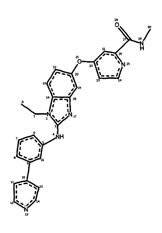 CCn1c(Nc2cccc(-c3ccncc3)c2)nc2cc(Oc3ccnc(C(=O)NC)c3)ccc21